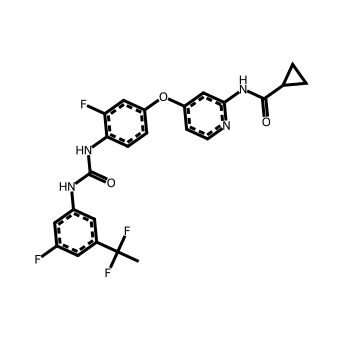 CC(F)(F)c1cc(F)cc(NC(=O)Nc2ccc(Oc3ccnc(NC(=O)C4CC4)c3)cc2F)c1